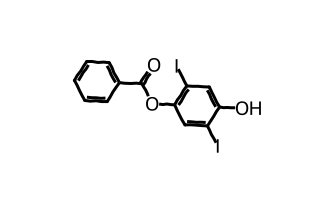 O=C(Oc1cc(I)c(O)cc1I)c1ccccc1